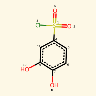 O=S(=O)(Cl)c1ccc(O)c(O)c1